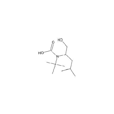 CC(C)CC(CO)N(C(=O)O)C(C)(C)C